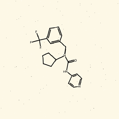 O=C(Nc1ccncc1)N(Cc1cccc(C(F)(F)F)c1)C1CCCC1